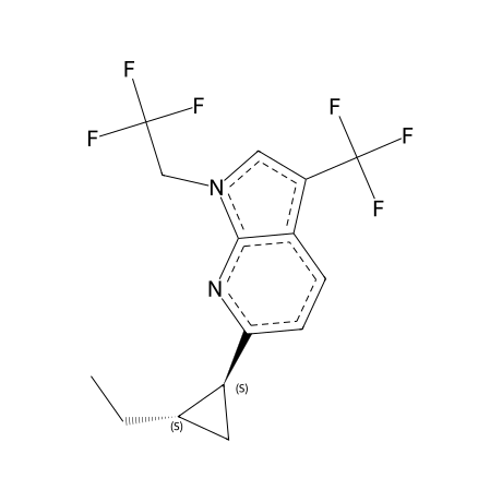 CC[C@H]1C[C@@H]1c1ccc2c(C(F)(F)F)cn(CC(F)(F)F)c2n1